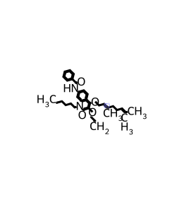 C=CCOc1c(OC/C=C(\C)CCC=C(C)C)c2ccc(NC(=O)c3ccccc3)cc2n(CCCCCC)c1=O